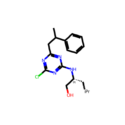 CC(C)C[C@H](CO)Nc1nc(Cl)nc(CC(C)c2ccccc2)n1